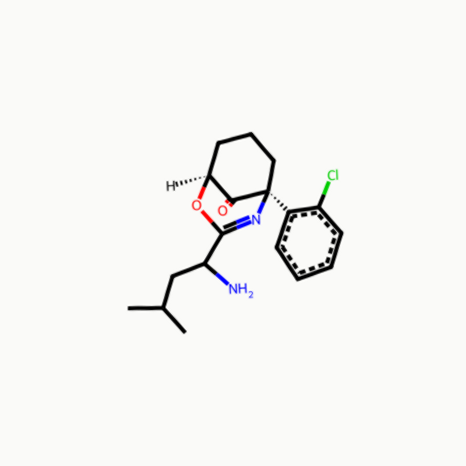 CC(C)CC(N)C1=N[C@]2(c3ccccc3Cl)CCC[C@H](O1)C2=O